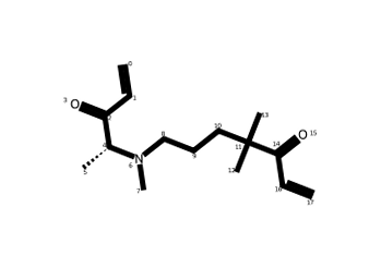 C=CC(=O)[C@@H](C)N(C)CCCC(C)(C)C(=O)C=C